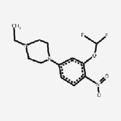 CCN1CCN(c2ccc([N+](=O)[O-])c(OC(F)F)c2)CC1